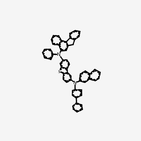 c1ccc(-c2ccc(N(c3ccc4ccccc4c3)c3ccc4sc5cc(N(c6ccccc6)c6cc7c(c8ccccc68)-c6ccccc6C7)ccc5c4c3)cc2)cc1